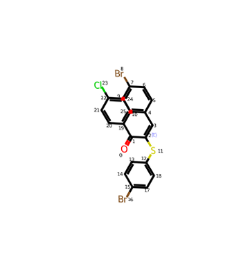 O=C(/C(=C\c1ccc(Br)cc1)Sc1ccc(Br)cc1)c1ccc(Cl)cc1